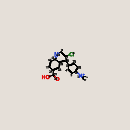 [C-]#[N+]c1ccc(-c2c(Cl)cnc3ccc(C(=O)O)cc23)cc1